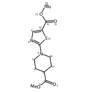 COC(=O)C1CCN(c2ncc(C(=O)OC(C)(C)C)s2)CC1